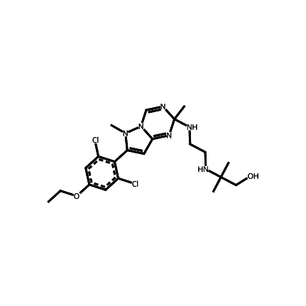 CCOc1cc(Cl)c(C2=CC3=NC(C)(NCCNC(C)(C)CO)N=CN3N2C)c(Cl)c1